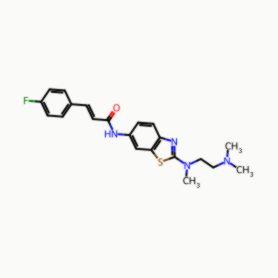 CN(C)CCN(C)c1nc2ccc(NC(=O)/C=C/c3ccc(F)cc3)cc2s1